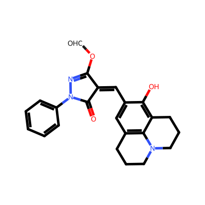 O=COC1=NN(c2ccccc2)C(=O)/C1=C\c1cc2c3c(c1O)CCCN3CCC2